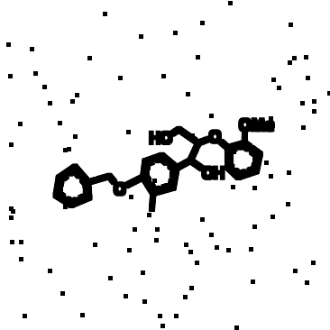 COc1ccccc1OC(CO)C(O)c1ccc(OCc2ccccc2)c(C)c1